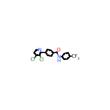 O=C(Nc1ccc(C(F)(F)F)cc1)c1ccc(-c2nccc(Cl)c2Cl)cc1